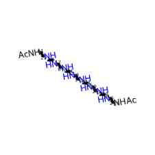 CC(=O)NCCNCCNCCNCCNCCNCCNCCNCCNCCNC(C)=O